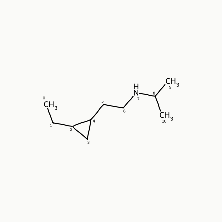 CCC1CC1CCNC(C)C